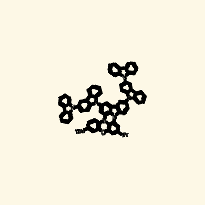 CC(C)c1cc2c3c(c1)-n1c4ccc(-n5c6ccccc6c6cc(-n7c8ccccc8c8ccccc87)ccc65)cc4c4cc(-n5c6ccccc6c6cc(-n7c8ccccc8c8ccccc87)ccc65)cc(c41)B3c1ccc(C(C)(C)C)cc1O2